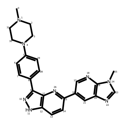 CN1CCN(c2ccc(-c3n[nH]c4ccc(-c5cnc6c(c5)ncn6C)nc34)cc2)CC1